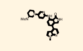 CN[C@H]1CCCN(c2ccc(Nc3ccc(-c4ccnc5c4ccn5C)c4c3C(=O)NC4)nc2)C1